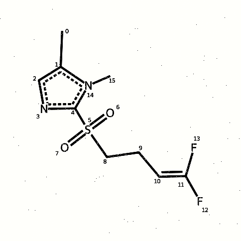 Cc1cnc(S(=O)(=O)CCC=C(F)F)n1C